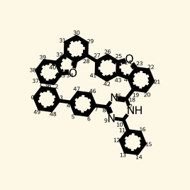 c1ccc(-c2ccc(C3=NC(c4ccccc4)NC(c4cccc5oc6cc(-c7cccc8c7oc7ccccc78)ccc6c45)=N3)cc2)cc1